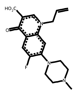 C=CCn1cc(C(=O)O)c(=O)c2cc(F)c(N3CCN(C)CC3)cc21